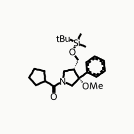 CO[C@]1(c2ccccc2)CN(C(=O)C2CCCC2)C[C@@H]1CO[Si](C)(C)C(C)(C)C